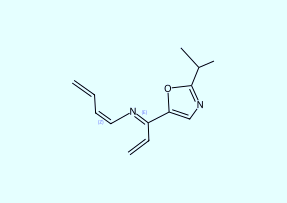 C=C/C=C\N=C(/C=C)c1cnc(C(C)C)o1